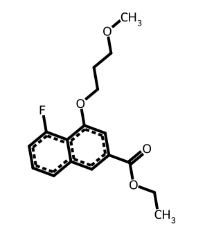 CCOC(=O)c1cc(OCCCOC)c2c(F)cccc2c1